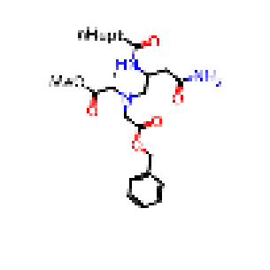 CCCCCCCC(=O)NC(CC(N)=O)CN(CC(=O)OCc1ccccc1)[C@@H](C)C(=O)OC